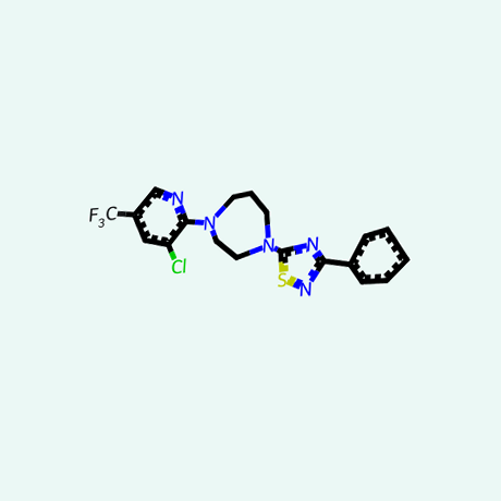 FC(F)(F)c1cnc(N2CCCN(c3nc(-c4ccccc4)ns3)CC2)c(Cl)c1